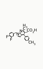 Cc1ccc(-c2c(CC(=O)O)c(C)nc3c2ccn3Cc2ccc(F)c(F)c2)cc1